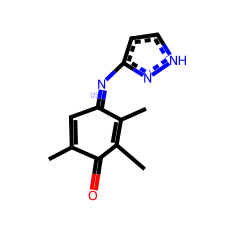 CC1=C/C(=N/c2cc[nH]n2)C(C)=C(C)C1=O